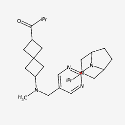 CC(C)C(=O)C1CC2(C1)CC(N(C)Cc1cnc(N3C4CCC3CN(C(C)C)C4)nc1)C2